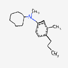 CCCc1ccc(N(C)C2CCCCC2)cc1C